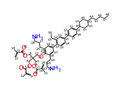 C=C(C)C(=O)OCC(COC(=O)C(=C)C)(COC(=O)C(=C)C)COc1c(CCCN)cc(-c2ccc(-c3ccc(C4CCC(CCCCC)CC4)cc3)cc2CC)cc1CCCN